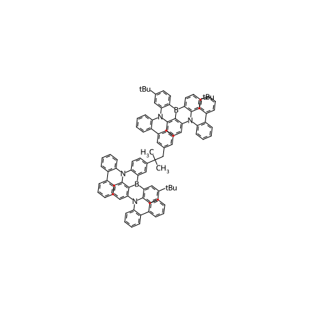 CC(C)(C)c1ccc2c(c1)B1c3cc(C(C)(C)Cc4cccc(-c5ccccc5N5c6cc(C(C)(C)C)ccc6B6c7ccc(C(C)(C)C)cc7N(c7ccccc7-c7ccccc7)c7cccc5c76)c4)ccc3N(c3ccccc3-c3ccccc3)c3cccc(c31)N2c1ccccc1-c1ccccc1